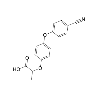 CC(Oc1ccc(Oc2ccc(C#N)cc2)cc1)C(=O)O